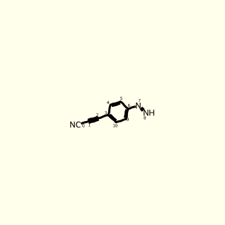 N#CC#Cc1ccc(N=N)cc1